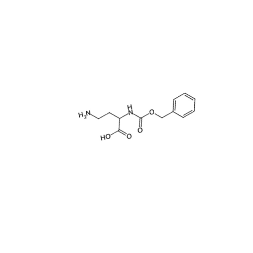 NCCC(NC(=O)OCc1ccccc1)C(=O)O